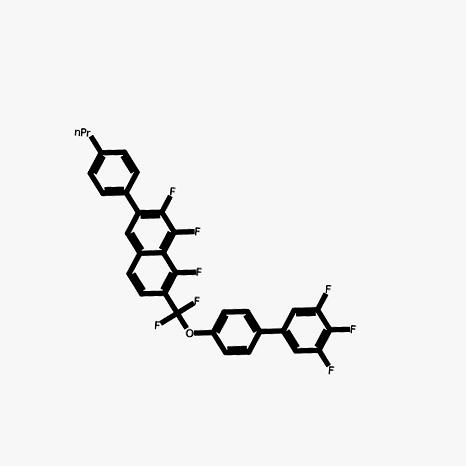 CCCc1ccc(-c2cc3ccc(C(F)(F)Oc4ccc(-c5cc(F)c(F)c(F)c5)cc4)c(F)c3c(F)c2F)cc1